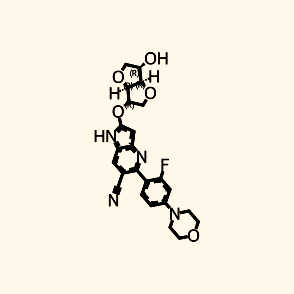 N#Cc1cc2[nH]c(O[C@@H]3CO[C@H]4[C@@H]3OC[C@H]4O)cc2nc1-c1ccc(N2CCOCC2)cc1F